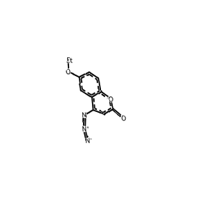 CCOc1ccc2oc(=O)cc(N=[N+]=[N-])c2c1